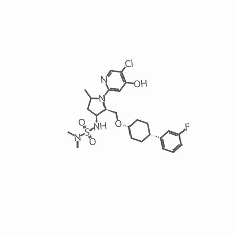 CC1C[C@H](NS(=O)(=O)N(C)C)[C@H](CO[C@H]2CC[C@@H](c3cccc(F)c3)CC2)N1c1cc(O)c(Cl)cn1